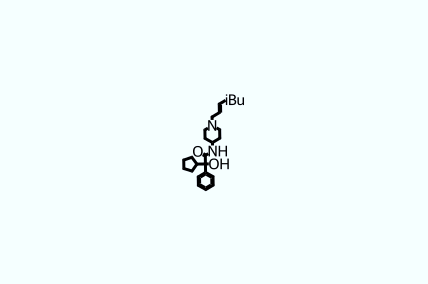 CCC(C)C=CCN1CCC(NC(=O)C(O)(c2ccccc2)C2CCCC2)CC1